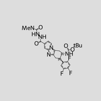 CNC(=O)NNC(=O)c1ccn2c3c(nc2c1)C[C@H](c1cc(F)c(F)cc1F)[C@@H](NC(=O)OC(C)(C)C)C3